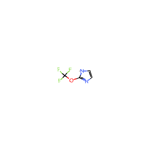 FC(F)(F)OC1=NC=C[N]1